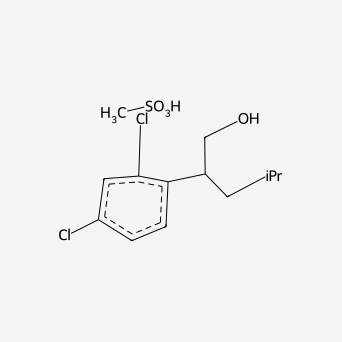 CC(C)CC(CO)c1ccc(Cl)cc1Cl.CS(=O)(=O)O